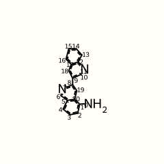 Nc1cccc2cnc(-c3cnc4ccccc4c3)cc12